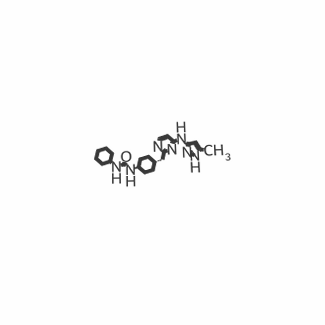 Cc1cc(Nc2ccnc(C[C@H]3CC[C@H](NC(=O)NC4CCCCC4)CC3)n2)n[nH]1